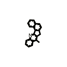 Cc1c2c(nc3ccccc13)-c1c(ccc3ccccc13)C2